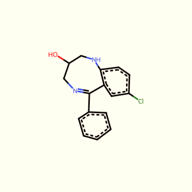 OC1CN=C(c2ccccc2)c2cc(Cl)ccc2NC1